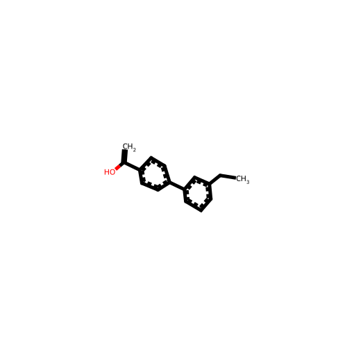 C=C(O)c1ccc(-c2cccc(CC)c2)cc1